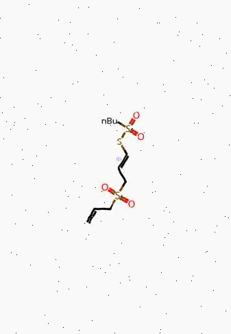 C=CCS(=O)(=O)C/C=C/SS(=O)(=O)CCCC